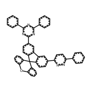 c1ccc(-c2ccc(-c3ccc4c(c3)-c3cc(-c5nc(-c6ccccc6)nc(-c6ccccc6)n5)ccc3C43c4ccccc4Oc4ccccc43)nn2)cc1